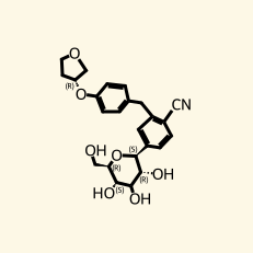 N#Cc1ccc([C@@H]2O[C@H](CO)[C@@H](O)C(O)[C@H]2O)cc1Cc1ccc(O[C@@H]2CCOC2)cc1